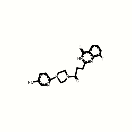 N#Cc1ccc(N2CCN(C(=O)CCc3nc4c(F)cccc4c(=O)[nH]3)CC2)nc1